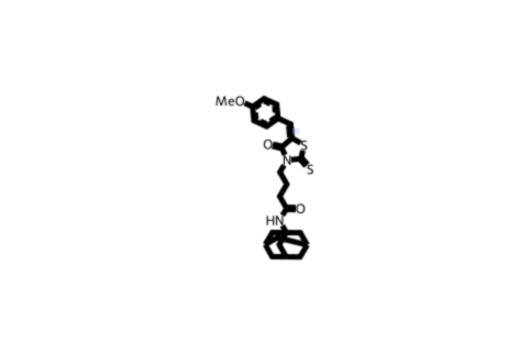 COc1ccc(/C=C2/SC(=S)N(CCCC(=O)NC34CC5CC(CC(C5)C3)C4)C2=O)cc1